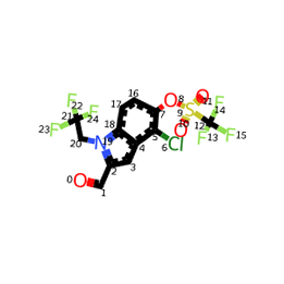 O=Cc1cc2c(Cl)c(OS(=O)(=O)C(F)(F)F)ccc2n1CC(F)(F)F